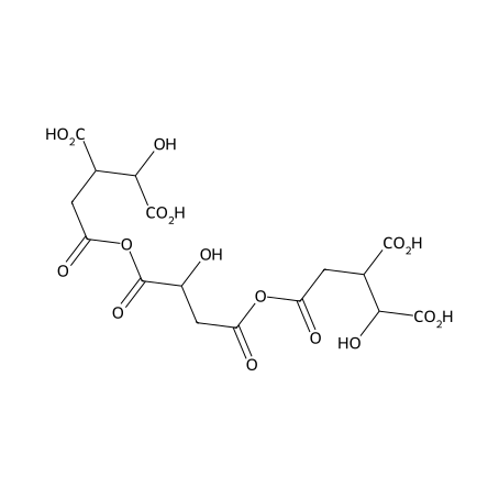 O=C(CC(O)C(=O)OC(=O)CC(C(=O)O)C(O)C(=O)O)OC(=O)CC(C(=O)O)C(O)C(=O)O